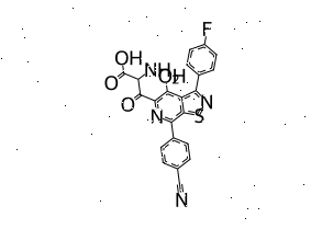 N#Cc1ccc(-c2nc(C(=O)C(N)C(=O)O)c(O)c3c(-c4ccc(F)cc4)nsc23)cc1